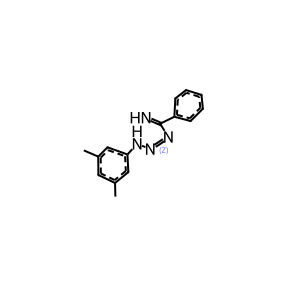 Cc1cc(C)cc(N/N=N\C(=N)c2ccccc2)c1